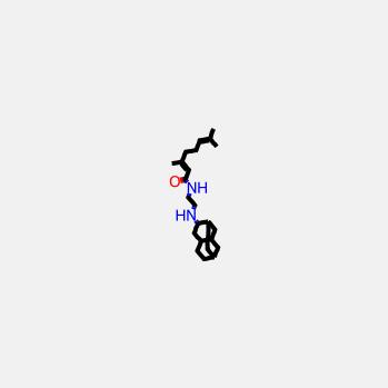 CC(C)=CCC/C(C)=C/C(=O)NCCNC1CC2CCC3CC2CC1C3